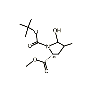 COC(=O)[C@H]1CC(C)C(O)N1C(=O)OC(C)(C)C